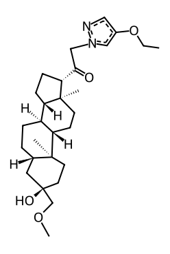 CCOc1cnn(CC(=O)[C@H]2CC[C@H]3[C@@H]4CC[C@H]5C[C@@](O)(COC)CC[C@]5(C)[C@H]4CC[C@]23C)c1